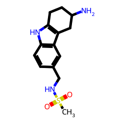 CS(=O)(=O)NCc1ccc2[nH]c3c(c2c1)CC(N)CC3